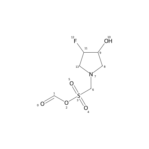 O=COS(=O)(=O)CN1CC(O)C(F)C1